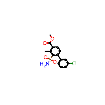 COC(=O)c1ccc(-c2cccc(Cl)c2)c(S(N)(=O)=O)c1C